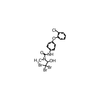 CN(C(=O)Nc1ccc(Oc2ccccc2Cl)cc1)C(O)C(Br)(Br)Br